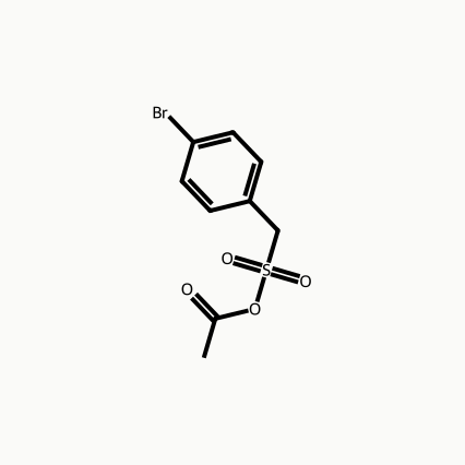 CC(=O)OS(=O)(=O)Cc1ccc(Br)cc1